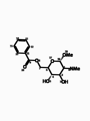 CNC1C(O)[C@H](O)C(COC(=O)c2ccccc2)O[C@@H]1OC